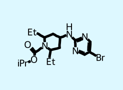 CCC1CC(Nc2ncc(Br)cn2)CC(CC)N1C(=O)OC(C)C